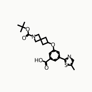 Cc1cnc(-c2cc(OC3CC4(C3)CN(C(=O)OC(C)(C)C)C4)cc(C(=O)O)c2)s1